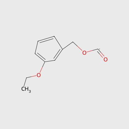 CCOc1cccc(CO[C]=O)c1